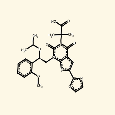 COc1ccccc1[C@H](Cn1c(=O)n(C(C)(C)C(=O)O)c(=O)c2cc(-c3ncco3)sc21)OC(C)C